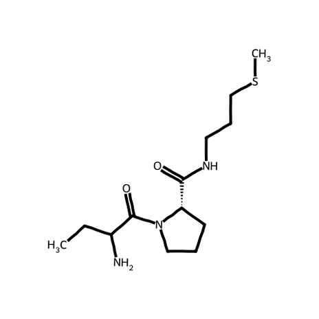 CCC(N)C(=O)N1CCC[C@H]1C(=O)NCCCSC